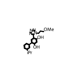 COCCCn1nnnc1-c1cc(-c2cccc(C(C)C)c2)c(O)cc1O